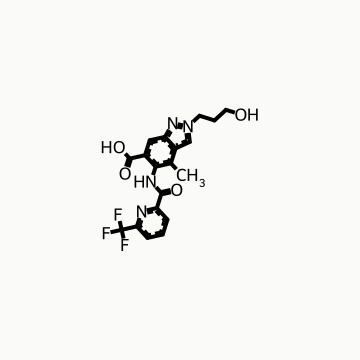 Cc1c(NC(=O)c2cccc(C(F)(F)F)n2)c(C(=O)O)cc2nn(CCCO)cc12